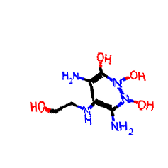 NC1=C(O)N(O)N(O)C(N)=C1NCCO